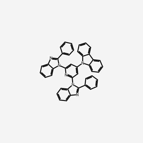 c1ccc(-c2nc3ccccc3n2-c2cc(-n3c4ccccc4c4ccccc43)cc(-n3c(-c4ccccc4)nc4ccccc43)n2)cc1